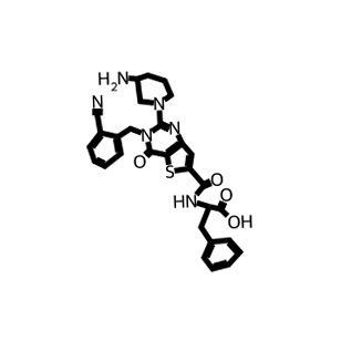 N#Cc1ccccc1Cn1c(N2CCCC(N)C2)nc2cc(C(=O)NC(Cc3ccccc3)C(=O)O)sc2c1=O